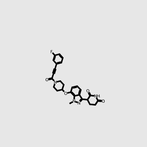 Cn1nc(C2CCC(=O)NC2=O)c2cccc(OC3CCN(C(=O)C#Cc4cccc(F)c4)CC3)c21